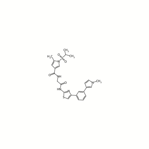 Cc1cc(C(=O)NCC(=O)Nc2nc(-c3cccc(-c4ccn(C)c4)c3)cs2)cn1S(=O)(=O)C(C)C